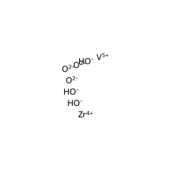 [O-2].[O-2].[O-2].[OH-].[OH-].[OH-].[V+5].[Zr+4]